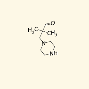 CC(C)(C=O)CN1CCNCC1